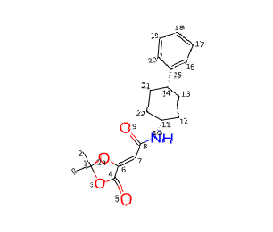 CC1(C)OC(=O)C(=CC(=O)N[C@H]2CC[C@@H](c3ccccc3)CC2)O1